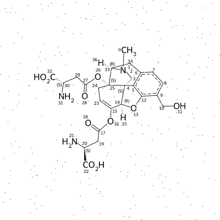 CN1CC[C@]23c4c5ccc(CO)c4O[C@H]2C(OC(=O)C[C@H](N)C(=O)O)=CC[C@@]3(OC(=O)C[C@H](N)C(=O)O)[C@H]1C5